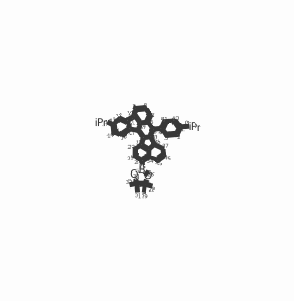 CC(C)c1ccc(-c2c3cccc4c5cc(C(C)C)ccc5c(c34)c3c4ccc(B5OC(C)(C)C(C)(C)O5)c5cccc(c23)c54)cc1